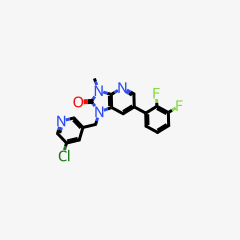 Cn1c(=O)n(Cc2cncc(Cl)c2)c2cc(-c3cccc(F)c3F)cnc21